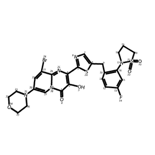 O=c1c(O)c(-c2ncc(Cc3ccc(F)cc3N3CCCS3(=O)=O)s2)nc2c(Br)cc(N3CCOCC3)cn12